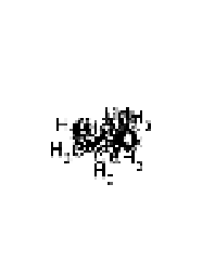 CCN(CC)[Si](C=C[Si](OC)(OC)OC)(c1ccccc1)N(CC)CC